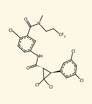 CN(CCC(F)(F)F)C(=O)c1cc(NC(=O)[C@@H]2[C@@H](c3cc(Cl)cc(Cl)c3)C2(Cl)Cl)ccc1Cl